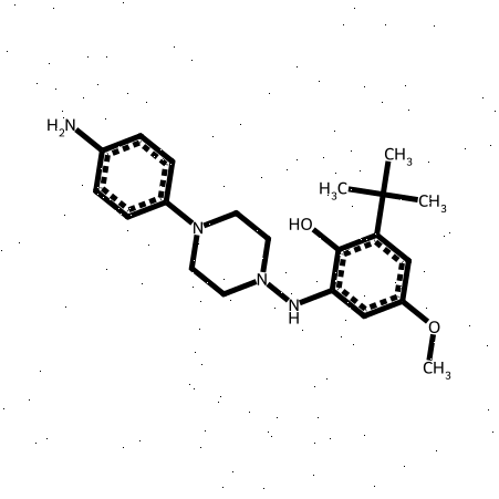 COc1cc(NN2CCN(c3ccc(N)cc3)CC2)c(O)c(C(C)(C)C)c1